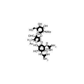 CN[C@@H]1[C@H](O[C@H]2[C@H](O[C@H]3[C@H](O)[C@@H](O)[C@H](NC(=N)N)[C@@H](O)[C@@H]3NC(=N)N)O[C@@H](C)[C@]2(O)C=O)O[C@@H](CO)[C@H](O)[C@H]1O.[Au]